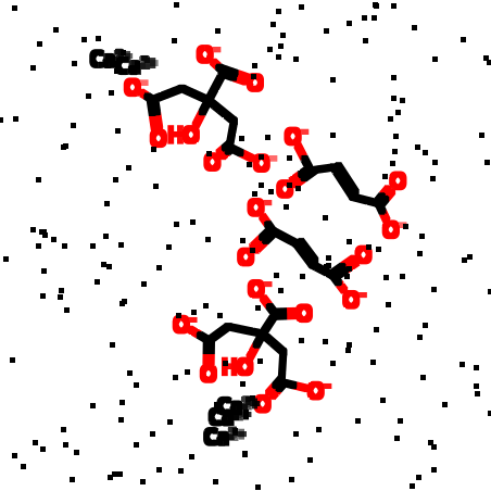 O=C([O-])/C=C/C(=O)[O-].O=C([O-])/C=C/C(=O)[O-].O=C([O-])CC(O)(CC(=O)[O-])C(=O)[O-].O=C([O-])CC(O)(CC(=O)[O-])C(=O)[O-].[Ca+2].[Ca+2].[Ca+2].[Ca+2].[Ca+2]